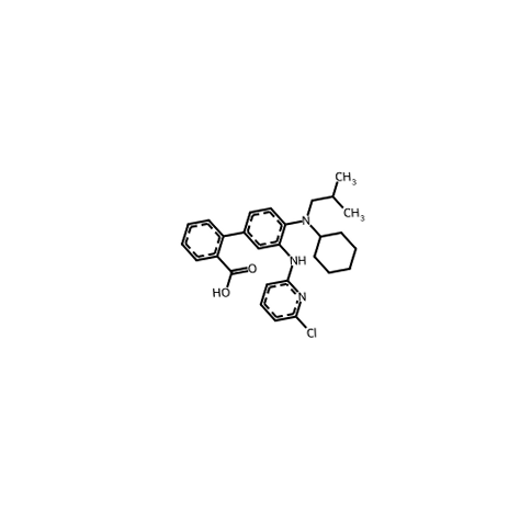 CC(C)CN(c1ccc(-c2ccccc2C(=O)O)cc1Nc1cccc(Cl)n1)C1CCCCC1